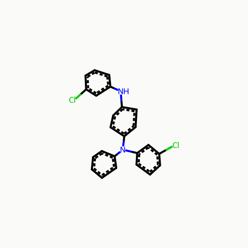 Clc1cccc(Nc2ccc(N(c3ccccc3)c3cccc(Cl)c3)cc2)c1